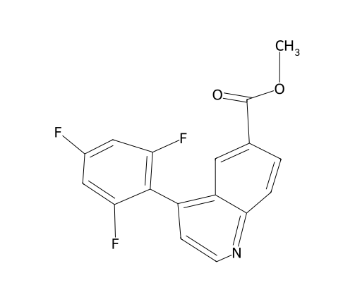 COC(=O)c1ccc2nccc(-c3c(F)cc(F)cc3F)c2c1